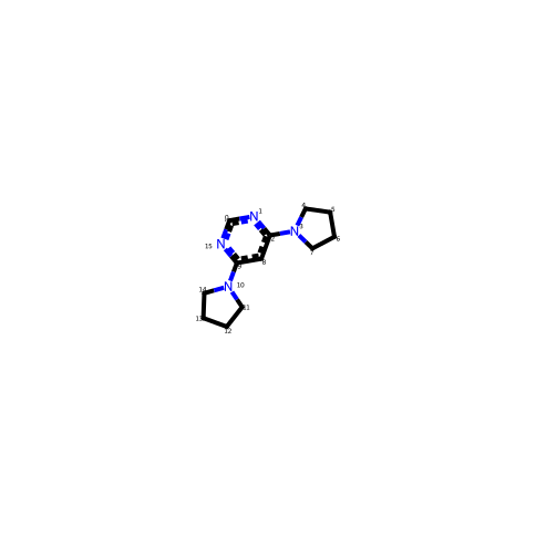 [c]1nc(N2CCCC2)cc(N2CCCC2)n1